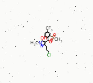 Cn1nc(CCCCl)c(C(=O)c2ccc(C(F)(F)F)cc2S(C)(=O)=O)c1O